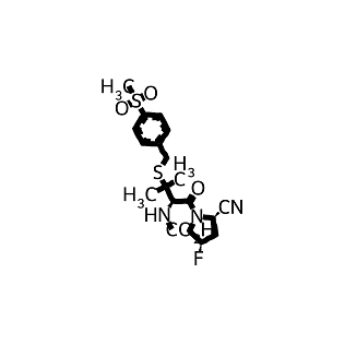 CC(C)(SCc1ccc(S(C)(=O)=O)cc1)[C@H](NC(=O)O)C(=O)N1C[C@@H](F)C[C@H]1C#N